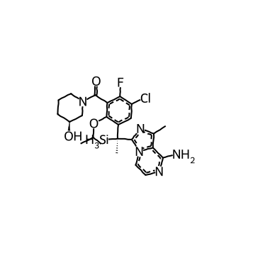 Cc1nc([C@@](C)([SiH3])c2cc(Cl)c(F)c(C(=O)N3CCC[C@H](O)C3)c2OC(C)C)n2ccnc(N)c12